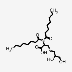 CCCCCCCC(=O)N(C(=O)CCCCCCC)C(CSCC(O)CO)C(=O)O